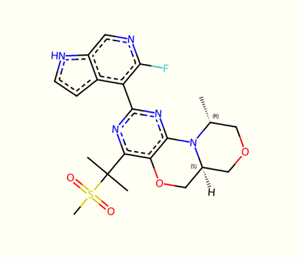 C[C@@H]1COC[C@H]2COc3c(nc(-c4c(F)ncc5[nH]ccc45)nc3C(C)(C)S(C)(=O)=O)N21